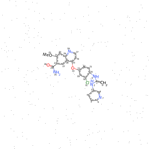 C=C(Nc1cccnc1)Nc1ccc(Oc2ccnc3cc(OC)c(C(N)=O)cc23)cc1Cl